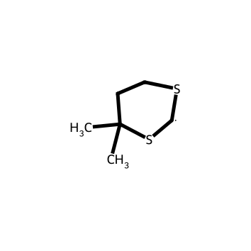 CC1(C)CCS[CH]S1